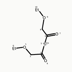 CCOC[C](=O)[Ti+2][C](=O)COCC